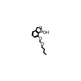 CCCCOCOc1cccc2c1B(O)OC2